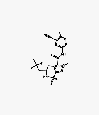 Cn1cc2c(c1C(=O)Nc1ccc(F)c(C#N)c1)CC(CC(C)(F)F)NS2(=O)=O